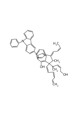 C=C/C=C\C=C/C(C(=C)/C=C\CO)(c1ccc(-c2ccc3c(c2)c2ccccc2n3-c2ccccc2)cc1O)C(C)/C(=C\C=C/C)c1ccccc1